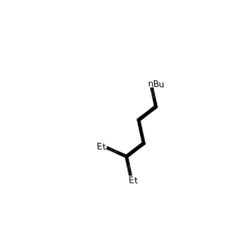 CCCCCCCC(CC)CC